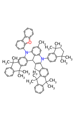 Cc1cc2c3c(c1)N(c1cccc4c1oc1ccccc14)c1cc4c(cc1C3C1=C(c3ccc5c(c3C1)C(C)(C)c1ccccc1C5(C)C)N2c1ccc2c(c1)C(C)(C)CCC2(C)C)C(C)(C)c1ccccc1C4(C)C